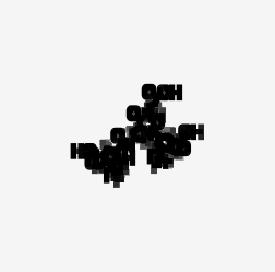 O=C(O)CCNC(=O)[C@@H]1C[C@@H](NC(=O)c2cc3c(c(C(F)(F)F)c2)COB3O)CN1C(=O)c1cc2c(c(C(F)(F)F)c1)COB2O